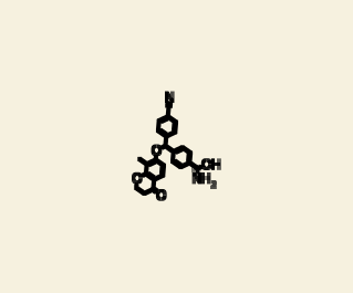 Cc1c(OC(c2ccc(C#N)cc2)c2ccc([C@H](N)O)cc2)ccc2c1OCCC2=O